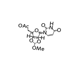 COC1O[C@@H]2[C@H](O1)[C@@H](COC(C)=O)O[C@H]2n1ccc(=O)[nH]c1=O